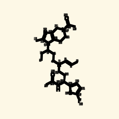 C/C=C/N(CCC(CC)n1c(C)nc2c1CCN(C(C)=O)C2)CC[C@H](NC(C)=O)c1ccc(F)s1